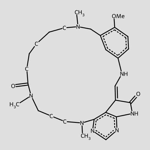 COc1ccc2cc1CN(C)CCCCCC(=O)N(C)CCCN(C)c1ncnc3c1/C(=C/N2)C(=O)N3